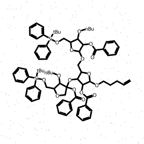 C=CCCCOC1OC(COC2OC(CO[Si](c3ccccc3)(c3ccccc3)C(C)(C)C)C(OCCCC)C2OC(=O)c2ccccc2)C(OC2(OC(=O)c3ccccc3)COC(CO[Si](c3ccccc3)(c3ccccc3)C(C)(C)C)C2OCCCC)C1OC(=O)c1ccccc1